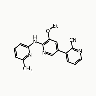 CCOc1cc(-c2cccnc2C#N)cnc1Nc1cccc(C)n1